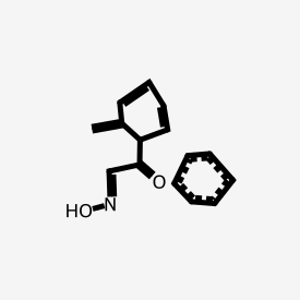 C=C1C=CC=CC1C(=O)C=NO.c1ccccc1